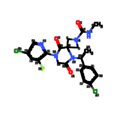 CNC(=O)N1CC2(C1)C(=O)N(c1ncc(Cl)cc1F)CC(=O)N2[C@@H](C)c1ccc(Cl)cc1